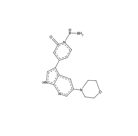 BBn1ccc(-c2c[nH]c3ncc(N4CCOCC4)cc23)cc1=O